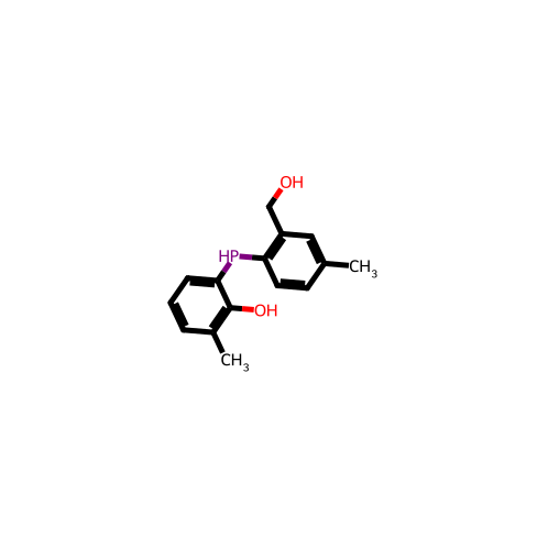 Cc1ccc(Pc2cccc(C)c2O)c(CO)c1